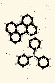 c1cc2cccc3c4cccc5cccc(c(c1)c23)c54.c1ccc(N(c2ccccc2)c2ccccc2)cc1